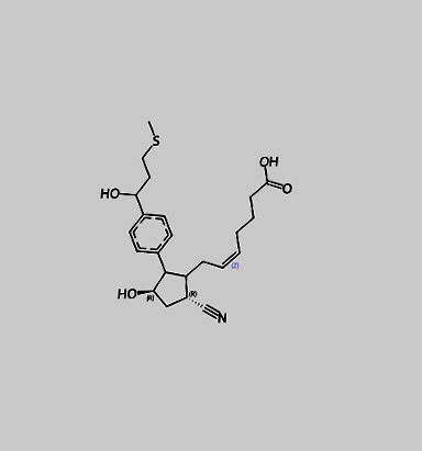 CSCCC(O)c1ccc(C2C(C/C=C\CCCC(=O)O)[C@H](C#N)C[C@H]2O)cc1